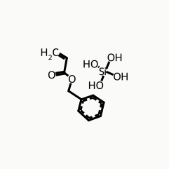 C=CC(=O)OCc1ccccc1.O[Si](O)(O)O